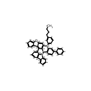 CCCCc1cccc(N2c3cc(-c4ccccc4)ccc3B3c4c2cc2oc5ccccc5c2c4-c2cccc4c5ccccc5n3c24)c1